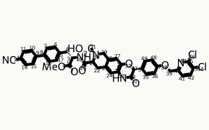 COC(=O)[C@H](Cc1ccc(-c2ccc(C#N)cc2)cc1)NC(=O)C1Cc2cc3c(cc2CN1C(=O)O)O[C@@H](c1ccc(OCc2ccc(Cl)c(Cl)n2)cc1)C(=O)N3